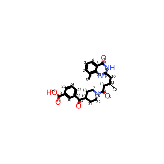 Cc1cccc2c(=O)[nH]c(C[C@@H](C)CC(=O)N3CCC(C(=O)c4cccc(C(=O)O)c4)CC3)nc12